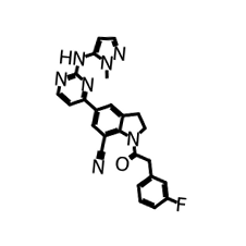 Cn1nccc1Nc1nccc(-c2cc(C#N)c3c(c2)CCN3C(=O)Cc2cccc(F)c2)n1